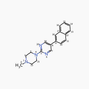 CN1CCN(c2ncc(-c3ccc4ccccc4c3)cn2)CC1